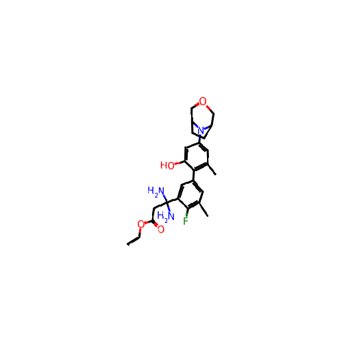 CCOC(=O)CC(N)(N)c1cc(-c2c(C)cc(N3C4CCC3COC4)cc2O)cc(C)c1F